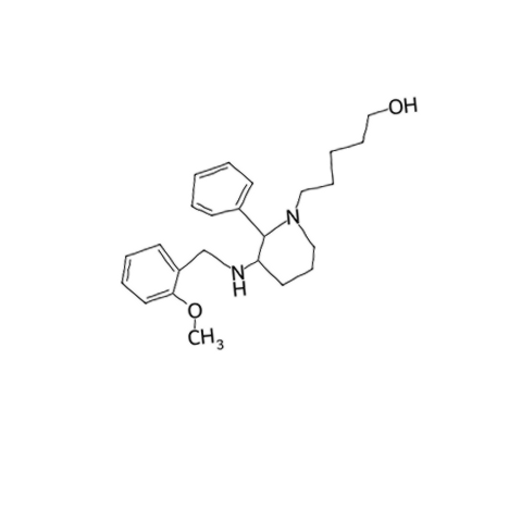 COc1ccccc1CNC1CCCN(CCCCCO)C1c1ccccc1